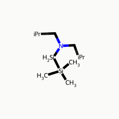 CC(C)CN(CC(C)C)[SiH2][Si](C)(C)C